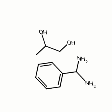 CC(O)CO.NC(N)c1ccccc1